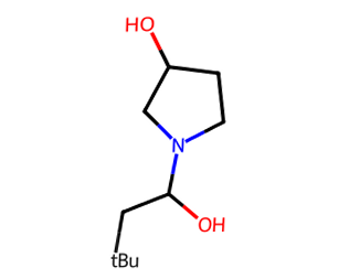 CC(C)(C)CC(O)N1CCC(O)C1